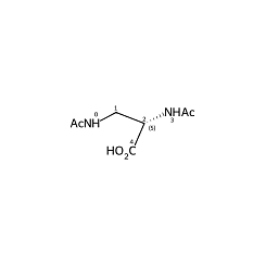 CC(=O)NC[C@H](NC(C)=O)C(=O)O